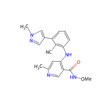 CONC(=O)c1cnc(C)cc1Nc1cccc(-c2cnn(C)c2)c1C#N